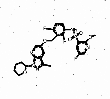 COc1ncc(F)cc1S(=O)(=O)Nc1ccc(F)c(COc2cnc3c(c2)c(C)nn3C2CCCCO2)c1F